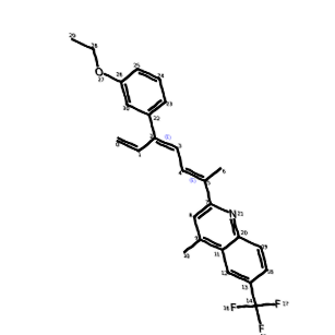 C=C/C(=C\C=C(/C)c1cc(C)c2cc(C(F)(F)F)ccc2n1)c1cccc(OCC)c1